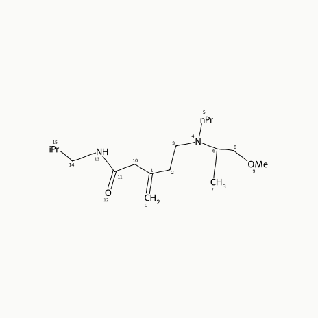 C=C(CCN(CCC)C(C)COC)CC(=O)NCC(C)C